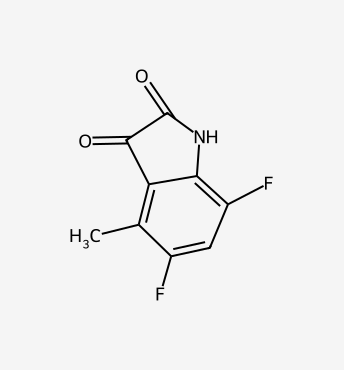 Cc1c(F)cc(F)c2c1C(=O)C(=O)N2